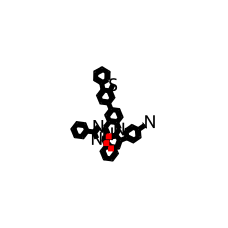 N#Cc1ccc2c3ccccc3n(-c3ccc(-c4ccc5c(c4)sc4ccccc45)cc3-c3nc(-c4ccccc4)nc(-c4ccccc4)n3)c2c1